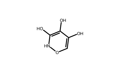 OC1=CONC(O)=C1O